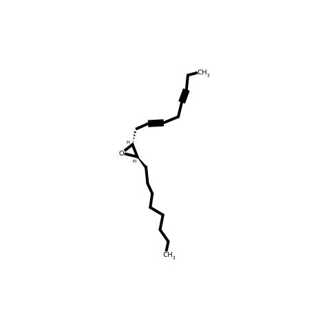 CCC#CCC#CC[C@H]1O[C@@H]1CCCCCCCC